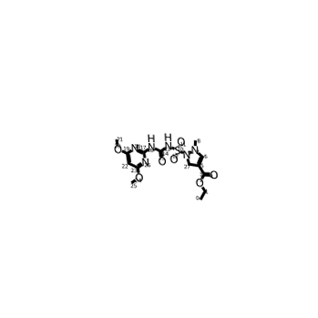 CCOC(=O)C1=CN(C)N(S(=O)(=O)NC(=O)Nc2nc(OC)cc(OC)n2)C1